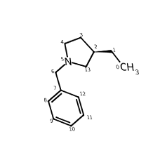 CC[C@@H]1CCN(Cc2ccccc2)C1